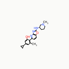 Cc1cc(C2CC2)cc(O)c1-c1ccc2oc(N[C@@H]3CCCN(C)C3)nc2n1